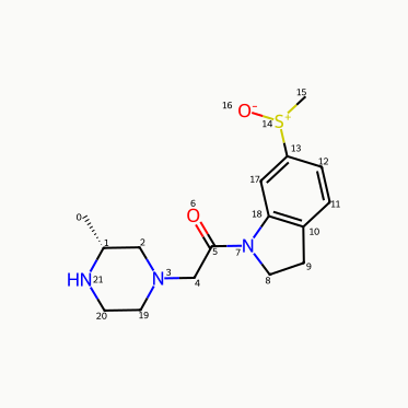 C[C@@H]1CN(CC(=O)N2CCc3ccc([S+](C)[O-])cc32)CCN1